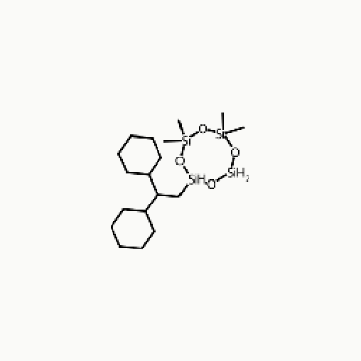 C[Si]1(C)O[SiH2]O[SiH](CC(C2CCCCC2)C2CCCCC2)O[Si](C)(C)O1